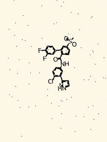 CS(=O)(=O)c1ccc(C(=O)Nc2ccc(Cl)c(-c3cc[nH]n3)c2)c(-c2ccc(F)c(F)c2)c1